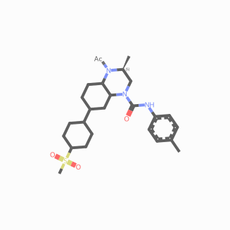 CC(=O)N1C2CCC(C3CCC(S(C)(=O)=O)CC3)CC2N(C(=O)Nc2ccc(C)cc2)C[C@@H]1C